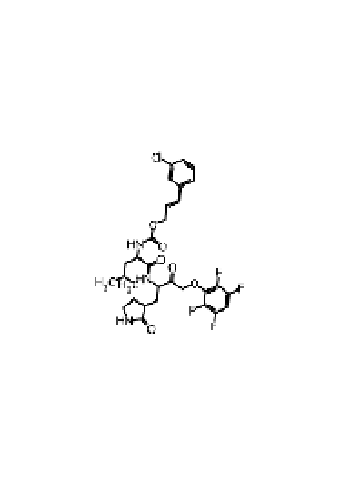 CC(C)CC(NC(=O)OCC=Cc1cccc(Cl)c1)C(=O)NC(CC1CCNC1=O)C(=O)COc1c(F)c(F)cc(F)c1F